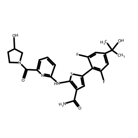 CC(C)(O)c1cc(F)c(-c2cc(C(N)=O)c(Nc3cccc(C(=O)N4CCC(O)C4)n3)s2)c(F)c1